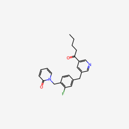 CCCCC(=O)c1cncc(Cc2ccc(Cn3ccccc3=O)c(F)c2)c1